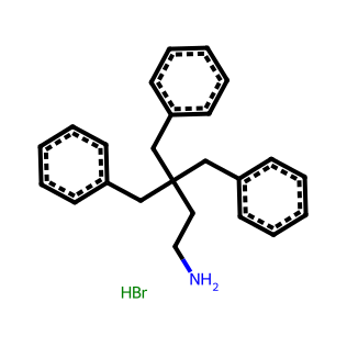 Br.NCCC(Cc1ccccc1)(Cc1ccccc1)Cc1ccccc1